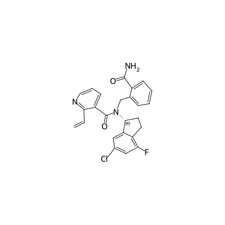 C=Cc1ncccc1C(=O)N(Cc1ccccc1C(N)=O)[C@@H]1CCc2c(F)cc(Cl)cc21